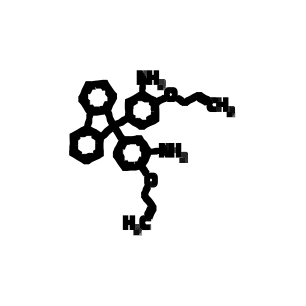 C=CCOc1ccc(C2(c3ccc(OCC=C)c(N)c3)c3ccccc3-c3ccccc32)cc1N